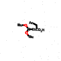 CC(=O)CC(=O)O.CCC(C)[O][Al]([CH2]C)[O]C(C)CC